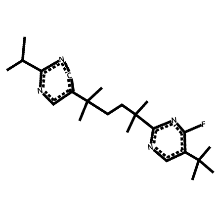 CC(C)c1ncc(C(C)(C)CCC(C)(C)c2ncc(C(C)(C)C)c(F)n2)cn1